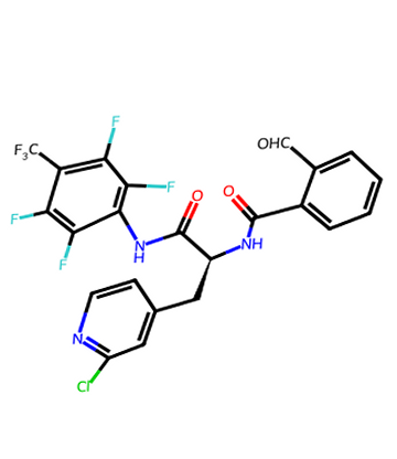 O=Cc1ccccc1C(=O)N[C@@H](Cc1ccnc(Cl)c1)C(=O)Nc1c(F)c(F)c(C(F)(F)F)c(F)c1F